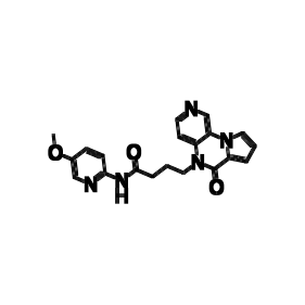 COc1ccc(NC(=O)CCCn2c(=O)c3cccn3c3cnccc32)nc1